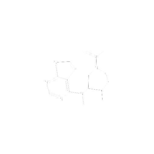 CC(=O)N1CCC(C)C(N(C)c2ncnc3[nH]ccc23)C1